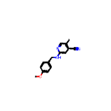 COc1ccc(CNc2cc(C#N)c(C)cn2)cc1